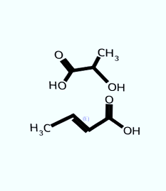 C/C=C/C(=O)O.CC(O)C(=O)O